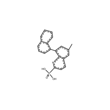 Cc1cc(-c2cccc3ccccc23)c2nc(P(=O)(O)O)ccc2c1